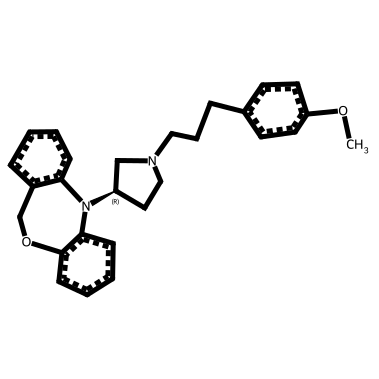 COc1ccc(CCCN2CC[C@@H](N3c4ccccc4COc4ccccc43)C2)cc1